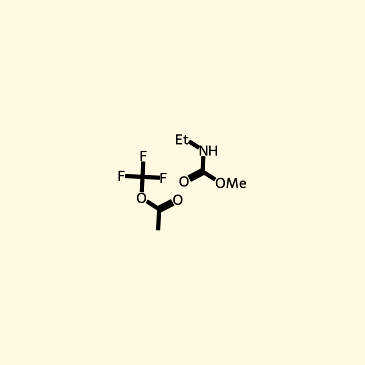 CC(=O)OC(F)(F)F.CCNC(=O)OC